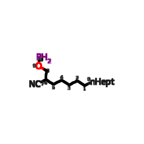 CCCCCCCCCCCCC(C#N)COP